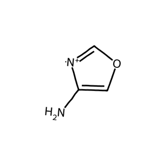 NC1=COC=[N+]1